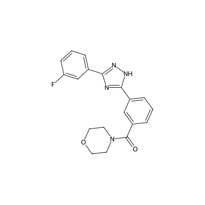 O=C(c1cccc(-c2nc(-c3cccc(F)c3)n[nH]2)c1)N1CCOCC1